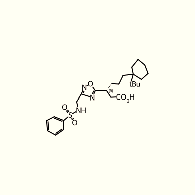 CC(C)(C)C1(CCC[C@H](CC(=O)O)c2nc(CNS(=O)(=O)c3ccccc3)no2)CCCCC1